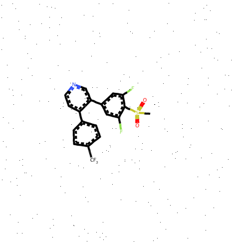 CS(=O)(=O)c1c(F)cc(-c2cnccc2-c2ccc(C(F)(F)F)cc2)cc1F